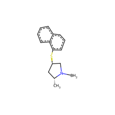 BN1C[C@H](Sc2cccc3ccccc23)C[C@H]1C